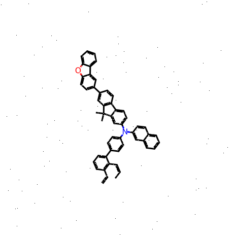 C=Cc1cccc(-c2ccc(N(c3ccc4c(c3)C(C)(C)c3cc(-c5ccc6oc7ccccc7c6c5)ccc3-4)c3ccc4ccccc4c3)cc2)c1/C=C\C